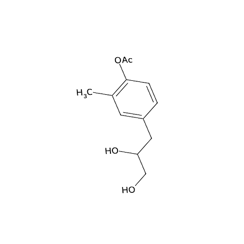 CC(=O)Oc1ccc(CC(O)CO)cc1C